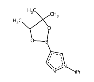 CC(C)n1cc(B2OC(C)C(C)(C)O2)cn1